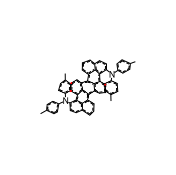 Cc1ccc(N(c2ccc(C)cc2)c2ccc3cccc4c3c2c2cccc3c2c4c2cccc4c5c(N(c6ccc(C)cc6)c6ccc(C)cc6)ccc6cccc(c65)c3c42)cc1